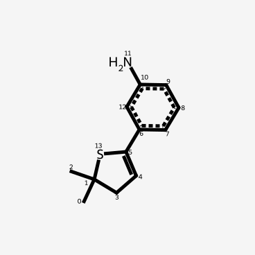 CC1(C)CC=C(c2cccc(N)c2)S1